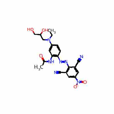 CCN(CC(O)CO)c1ccc(N=Nc2c(C#N)cc([N+](=O)[O-])cc2C#N)c(NC(C)=O)c1